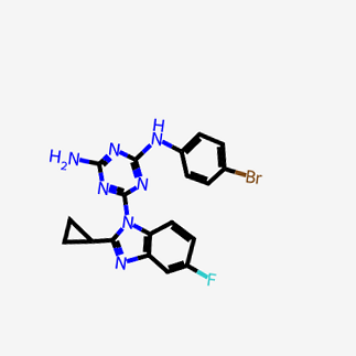 Nc1nc(Nc2ccc(Br)cc2)nc(-n2c(C3CC3)nc3cc(F)ccc32)n1